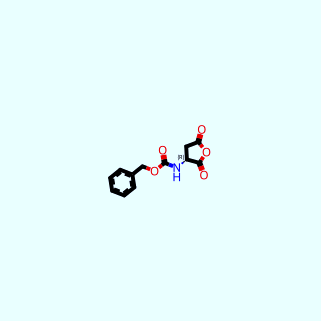 O=C1C[C@@H](NC(=O)OCc2ccccc2)C(=O)O1